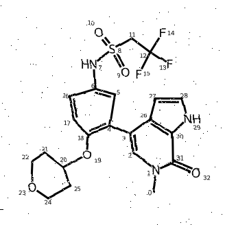 Cn1cc(-c2cc(NS(=O)(=O)CC(F)(F)F)ccc2OC2CCOCC2)c2cc[nH]c2c1=O